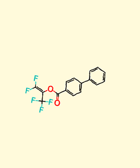 O=C(OC(=C(F)F)C(F)(F)F)c1ccc(-c2ccccc2)cc1